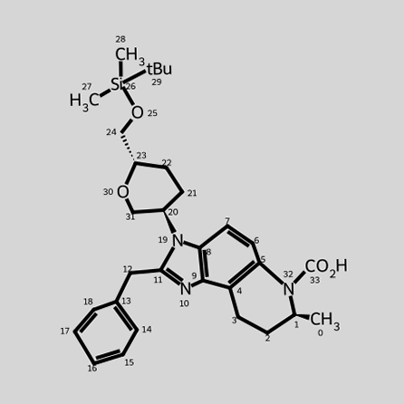 C[C@H]1CCc2c(ccc3c2nc(Cc2ccccc2)n3[C@@H]2CC[C@@H](CO[Si](C)(C)C(C)(C)C)OC2)N1C(=O)O